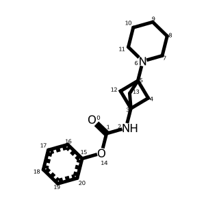 O=C(NC12CC(N3CCCCC3)(C1)C2)Oc1ccccc1